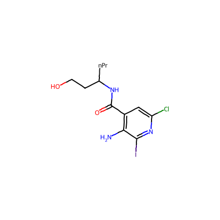 CCCC(CCO)NC(=O)c1cc(Cl)nc(I)c1N